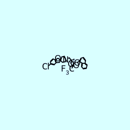 O=C(O[C@H](COc1cccc2ccccc12)CN1CCC2(CC1)Cc1cc(Cl)ccc1O2)C(F)(F)F